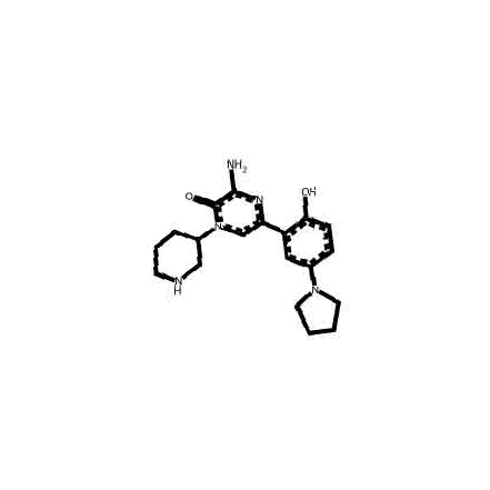 Nc1nc(-c2cc(N3CCCC3)ccc2O)cn(C2CCCNC2)c1=O